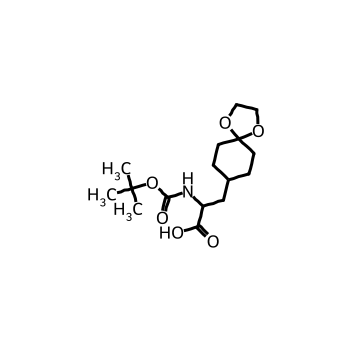 CC(C)(C)OC(=O)NC(CC1CCC2(CC1)OCCO2)C(=O)O